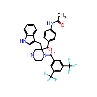 CC(=O)Nc1ccc(C(=O)C2(Cc3c[nH]c4ccccc34)CNCCN2C(=O)c2cc(C(F)(F)F)cc(C(F)(F)F)c2)cc1